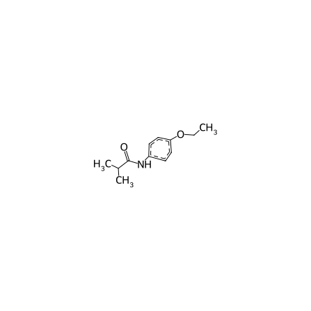 CCOc1ccc(NC(=O)C(C)C)cc1